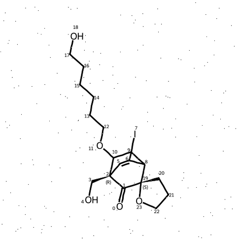 O=C1[C@@]2(CO)C=C(I)C(CC2OCCCCCCO)[C@@]12CCCO2